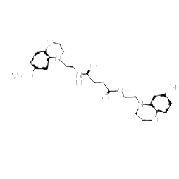 COc1ccc2c(c1)N(CCNC(=O)CCC(=O)NCCN1CCOc3ccc(O)cc31)CCO2